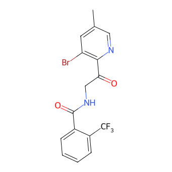 Cc1cnc(C(=O)CNC(=O)c2ccccc2C(F)(F)F)c(Br)c1